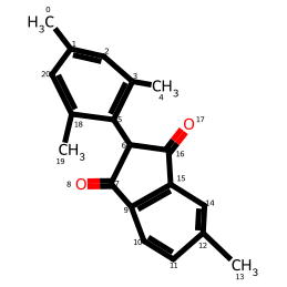 Cc1cc(C)c(C2C(=O)c3ccc(C)cc3C2=O)c(C)c1